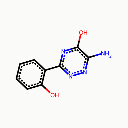 Nc1nnc(-c2ccccc2O)nc1O